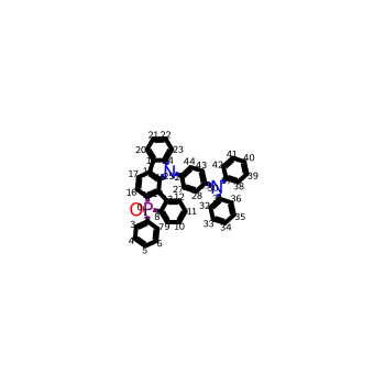 O=P1(c2ccccc2)c2ccccc2-c2c1ccc1c3ccccc3n(-c3ccc(N(c4ccccc4)c4ccccc4)cc3)c21